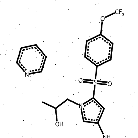 CC(O)Cn1cc(N)cc1S(=O)(=O)c1ccc(OC(F)(F)F)cc1.c1ccncc1